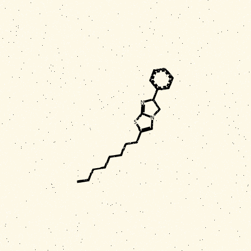 CCCCCCCCC1=CN2CC(c3ccccc3)N=C2S1